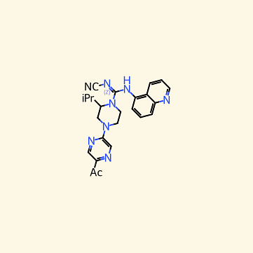 CC(=O)c1cnc(N2CCN(/C(=N\C#N)Nc3cccc4ncccc34)C(C(C)C)C2)cn1